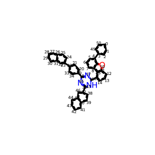 c1ccc(-c2cccc3c2oc2cccc(C4N=C(c5ccc(-c6ccc7ccccc7c6)cc5)N=C(c5ccc6ccccc6c5)N4)c23)cc1